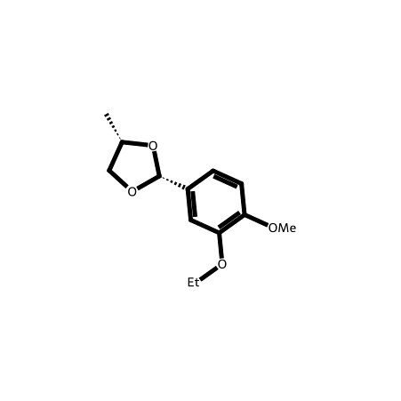 CCOc1cc([C@@H]2OC[C@H](C)O2)ccc1OC